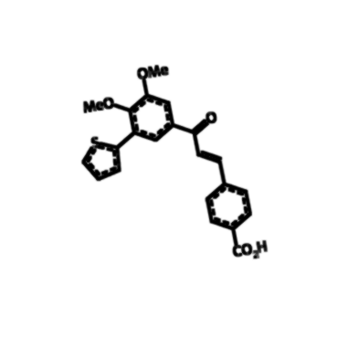 COc1cc(C(=O)C=Cc2ccc(C(=O)O)cc2)cc(-c2cccs2)c1OC